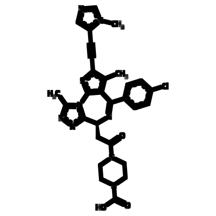 Cc1c(C#Cc2cncn2C)sc2c1C(c1ccc(Cl)cc1)=N[C@@H](CC(=O)N1CCN(C(=O)O)CC1)c1nnc(C)n1-2